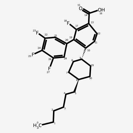 CCCCCC[C@H]1CC[C@H](c2ccc(C(=O)O)c(F)c2-c2cc(F)c(F)c(F)c2)CC1